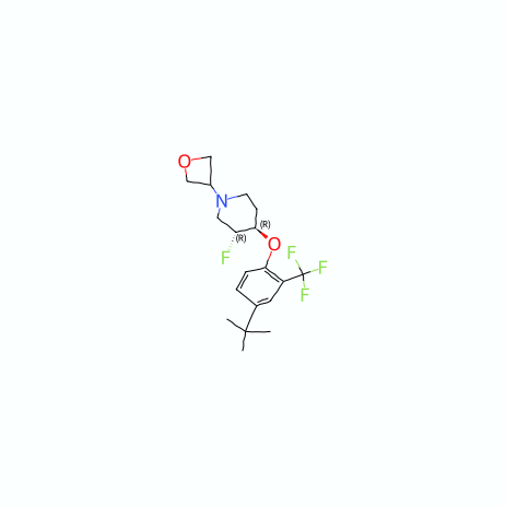 CC(C)(C)c1ccc(O[C@@H]2CCN(C3COC3)C[C@H]2F)c(C(F)(F)F)c1